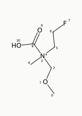 COC[N+](C)(CCF)C(=O)O